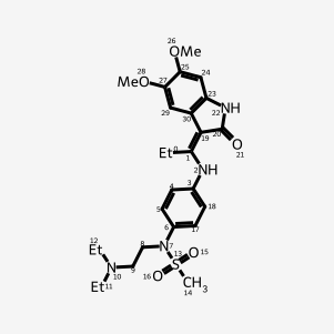 CC/C(Nc1ccc(N(CCN(CC)CC)S(C)(=O)=O)cc1)=C1/C(=O)Nc2cc(OC)c(OC)cc21